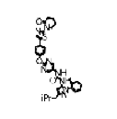 Cc1ccccc1-n1nc(CC(C)C)cc1NC(=O)Nc1cnc(Oc2ccc(-c3cnc(N4CCCCC4=O)s3)cc2)nc1